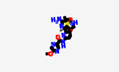 COc1cnc(C(=O)Nc2ccc(F)c([C@@]3(C)N=C(N)C(C)(C)[SH]4(=O)NCC[C@H]34)n2)cn1